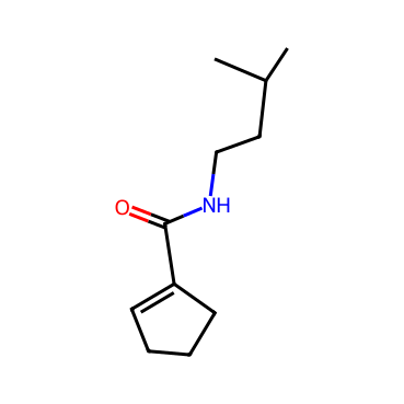 CC(C)CCNC(=O)C1=CCCC1